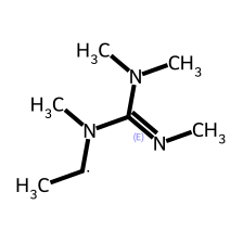 C[CH]N(C)/C(=N/C)N(C)C